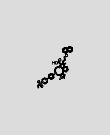 CCS(=O)(=O)N1CCN(c2ccc(N3CCCN4c5c(cccc5C(C)(CCCOc5cccc6ccccc56)C4C(=O)O)-c4cnn(C)c4C3)cc2)CC1